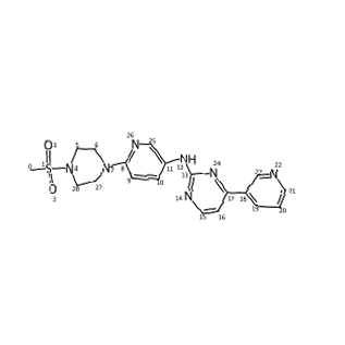 CS(=O)(=O)N1CCN(c2ccc(Nc3nccc(-c4cccnc4)n3)cn2)CC1